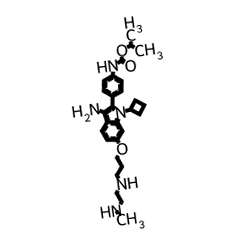 CNCCNCCCOc1ccc2c(N)c(-c3ccc(NC(=O)OC(C)C)cc3)n(C3CCC3)c2c1